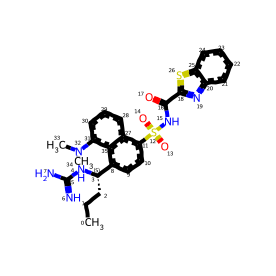 CCC[C@H](NC(=N)N)c1ccc(S(=O)(=O)NC(=O)c2nc3ccccc3s2)c2cccc(N(C)C)c12